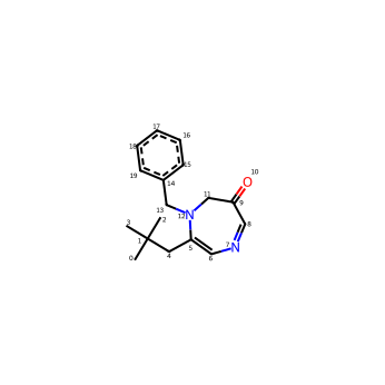 CC(C)(C)CC1=CN=CC(=O)CN1Cc1ccccc1